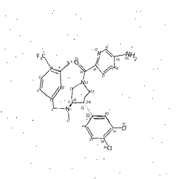 CN(Cc1ccc(C(F)(F)F)c(F)c1)[C@H]1CN(C(=O)c2ccc(N)cn2)C[C@@H]1c1ccc(Cl)c(Cl)c1